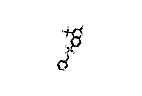 O=c1cc(C(F)(F)F)c2cc(S(=O)(=O)NCc3cccnc3)ccc2o1